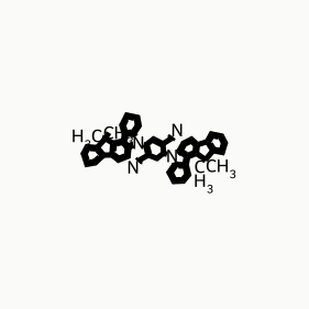 CC1(C)c2ccccc2-c2ccc3c(c21)c1ccccc1n3C1=C(C#N)CC(n2c3ccccc3c3c4c(ccc32)-c2ccccc2C4(C)C)C(C#N)=C1